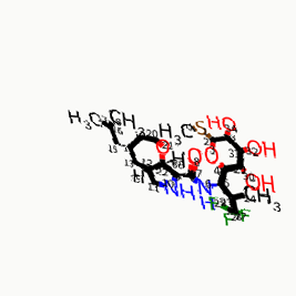 CSC1OC([C@H](NC(=O)[C@H]2NC[C@@H]3C[C@H](CC(C)C)CCO[C@H]32)C(C)C(F)(F)F)C(O)C(O)C1O